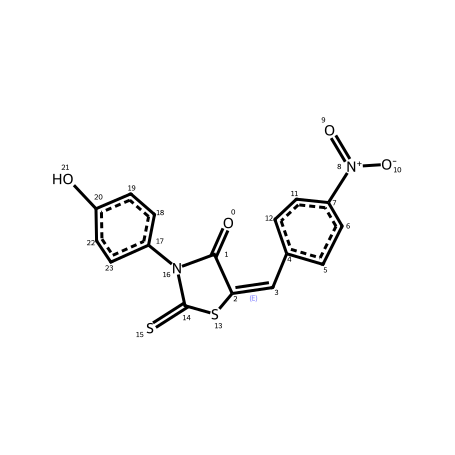 O=C1/C(=C\c2ccc([N+](=O)[O-])cc2)SC(=S)N1c1ccc(O)cc1